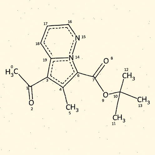 CC(=O)c1c(C)c(C(=O)OC(C)(C)C)n2ncccc12